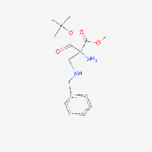 COC(=O)C(N)(CNCc1ccccc1)C(=O)OC(C)(C)C